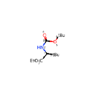 CCOC(=O)C(NC(=O)OC(C)(C)C)C(C)(C)C